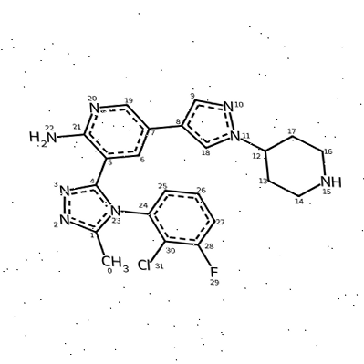 Cc1nnc(-c2cc(-c3cnn(C4CCNCC4)c3)cnc2N)n1-c1cccc(F)c1Cl